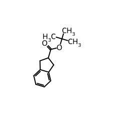 CC(C)(C)OC(=O)C1Cc2ccccc2C1